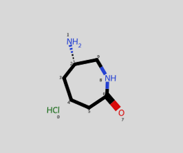 Cl.N[C@H]1CCCC(=O)NC1